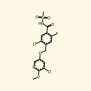 COc1ncc(OCc2cc(F)c(C(=O)NS(C)(=O)=O)cc2Cl)cc1Cl